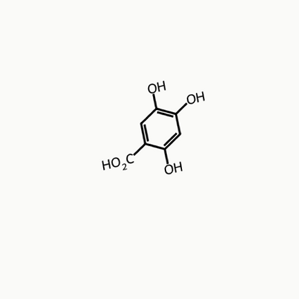 O=C(O)c1cc(O)c(O)cc1O